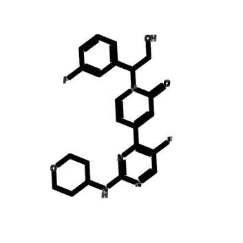 O=c1cc(-c2nc(NC3CCOCC3)ncc2F)ccn1C(CO)c1cccc(F)c1